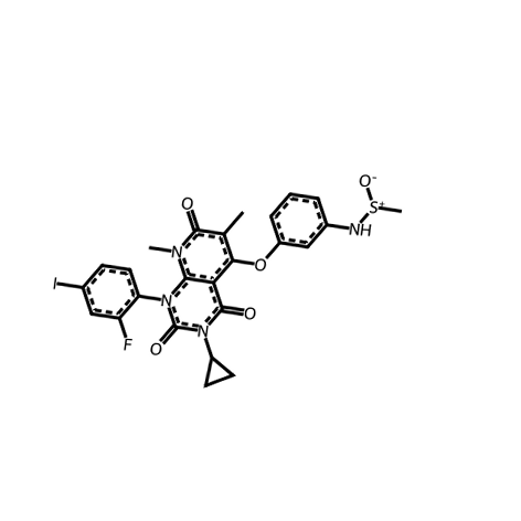 Cc1c(Oc2cccc(N[S+](C)[O-])c2)c2c(=O)n(C3CC3)c(=O)n(-c3ccc(I)cc3F)c2n(C)c1=O